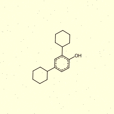 Oc1ccc(C2CCCCC2)cc1C1CCCCC1